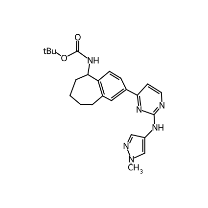 Cn1cc(Nc2nccc(-c3ccc4c(c3)CCCCC4NC(=O)OC(C)(C)C)n2)cn1